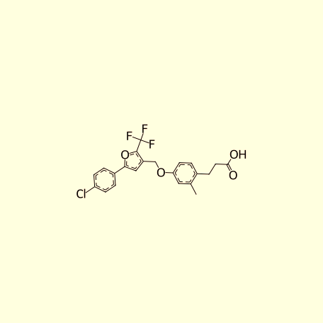 Cc1cc(OCc2cc(-c3ccc(Cl)cc3)oc2C(F)(F)F)ccc1CCC(=O)O